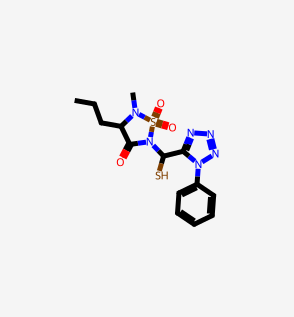 CCCC1C(=O)N(C(S)c2nnnn2-c2ccccc2)S(=O)(=O)N1C